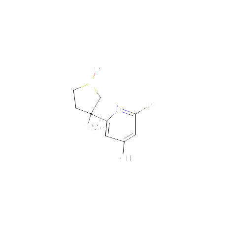 COC1(c2cc(C)cc(Br)n2)CC[S+]([O-])C1